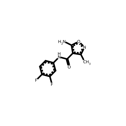 Cc1noc(N)c1C(=O)Nc1ccc(F)c(F)c1